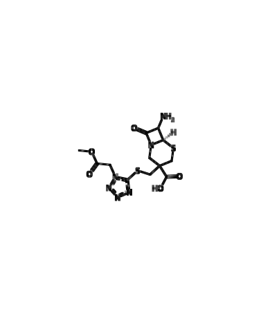 COC(=O)Cn1nnnc1SCC1(C(=O)O)CS[C@@H]2C(N)C(=O)N2C1